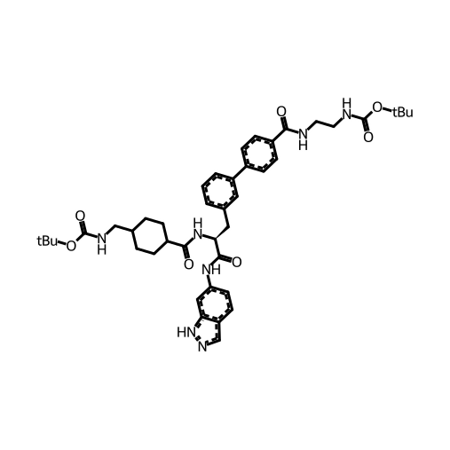 CC(C)(C)OC(=O)NCCNC(=O)c1ccc(-c2cccc(C[C@H](NC(=O)C3CCC(CNC(=O)OC(C)(C)C)CC3)C(=O)Nc3ccc4cn[nH]c4c3)c2)cc1